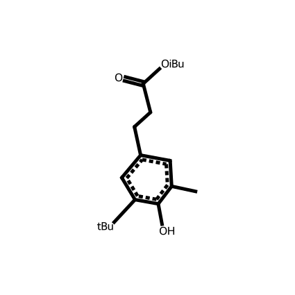 C[C](C)COC(=O)CCc1cc(C)c(O)c(C(C)(C)C)c1